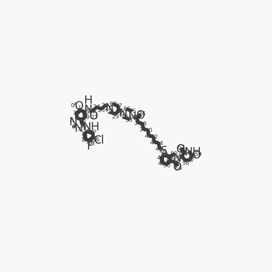 COc1cc2ncnc(Nc3ccc(F)c(Cl)c3)c2cc1NC(=O)CCCN1CCC(N2CCN(C(=O)CCCCCCCCCSc3cccc4c3CN(C3CCC(=O)NC3=O)C4=O)CC2)CC1